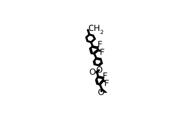 C=CC1CCC(c2ccc(-c3ccc(OC(=O)c4ccc(C5CO5)c(F)c4F)cc3)c(F)c2F)CC1